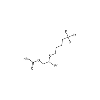 CCCCC(=O)OCC(CCC)SCCCCC(F)(F)CC